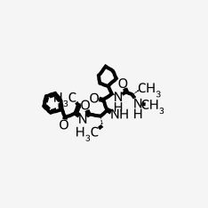 CC[C@@H](C(=N)C(=O)[C@@H](NC(=O)[C@H](C)NC)C1CCCCC1)c1nc(C(=O)c2ccccc2)c(C)o1